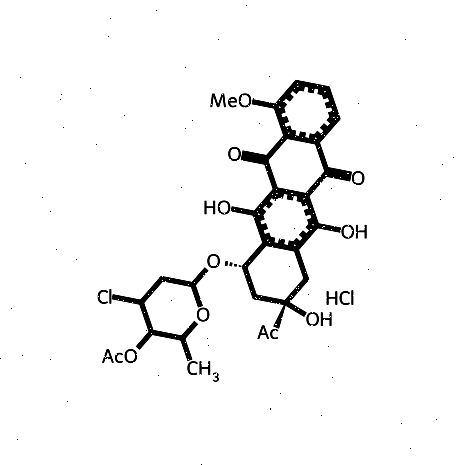 COc1cccc2c1C(=O)c1c(O)c3c(c(O)c1C2=O)C[C@@](O)(C(C)=O)C[C@@H]3OC1CC(Cl)C(OC(C)=O)C(C)O1.Cl